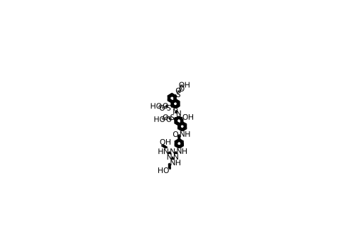 O=C(Nc1ccc2c(O)c(/N=N/c3ccc4c(SOOO)cccc4c3SOOO)c(SOOO)cc2c1)c1ccc(Nc2nc(NCCO)nc(NCCO)n2)cc1